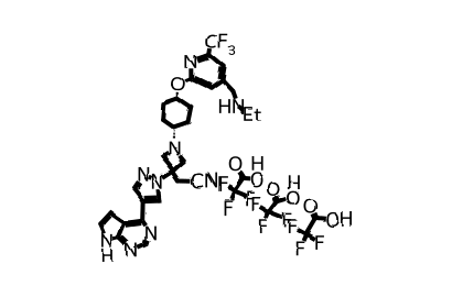 CCNCc1cc(O[C@H]2CC[C@@H](N3CC(CC#N)(n4cc(-c5ncnc6[nH]ccc56)cn4)C3)CC2)nc(C(F)(F)F)c1.O=C(O)C(F)(F)F.O=C(O)C(F)(F)F.O=C(O)C(F)(F)F